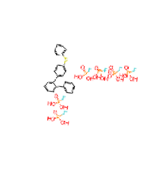 O=P(O)(O)F.O=P(O)(O)F.O=P(O)(O)F.O=P(O)(O)F.O=P(O)(O)F.O=P(O)(O)F.c1ccc(Sc2ccc(-c3ccccc3-c3ccccc3)cc2)cc1